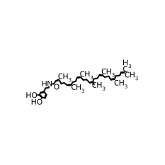 CC(C)=CCCC(C)=CCCC(C)=CCCC(C)=CCCC(C)=CCCC(C)=CCCC(C)=CC(=O)NCCc1ccc(O)c(O)c1